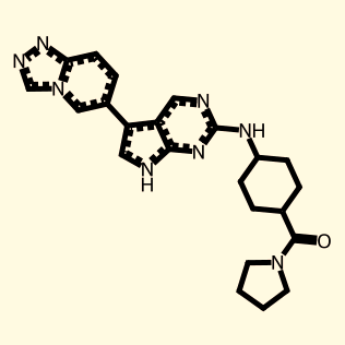 O=C(C1CCC(Nc2ncc3c(-c4ccc5nncn5c4)c[nH]c3n2)CC1)N1CCCC1